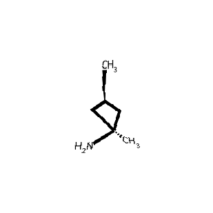 C[C@H]1C[C@@](C)(N)C1